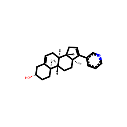 CC[C@]12CC[C@H]3[C@@H](CC=C4C[C@@H](O)CC[C@@]43C)[C@@H]1CC=C2c1cccnc1